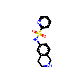 O=S(=O)(Nc1ccc2c(c1)CCNC2)c1ccccn1